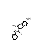 O=C(Nc1ccccc1)c1cc2ccc(O)cc2cc1O